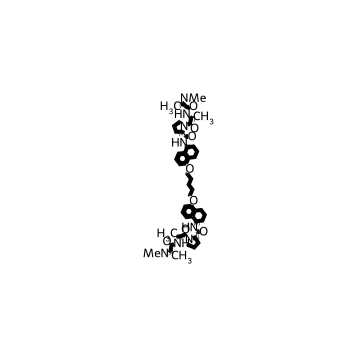 CN[C@@H](C)C(=O)N[C@@H](C)C(=O)N1CCC[C@H]1C(=O)N[C@@H]1CCCc2c(OCCCCCOc3cccc4c3CCC[C@H]4NC(=O)[C@@H]3CCCN3C(=O)[C@H](C)NC(=O)[C@H](C)NC)cccc21